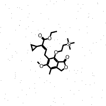 CCOC(=O)/C(=C/Cc1c(OC)c(C)c2c(c1OCC[Si](C)(C)C)C(=O)OC2)C1CC1